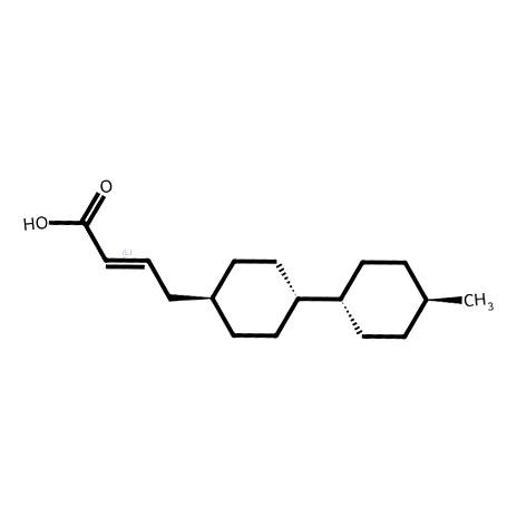 C[C@H]1CC[C@H]([C@H]2CC[C@H](C/C=C/C(=O)O)CC2)CC1